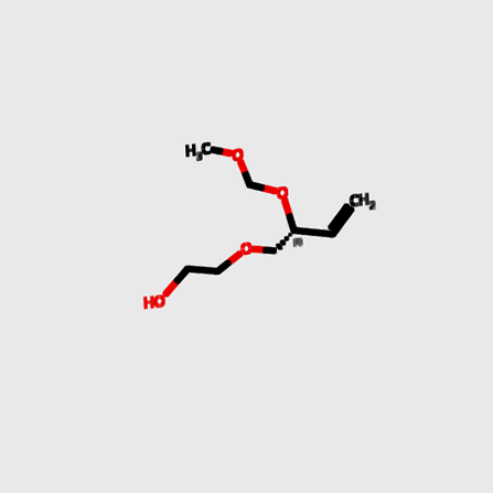 C=C[C@H](COCCO)OCOC